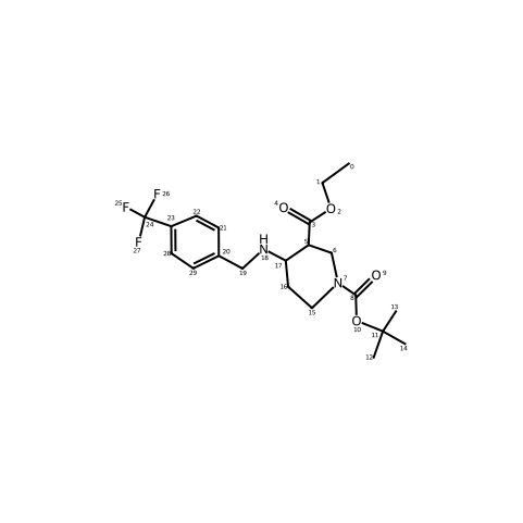 CCOC(=O)C1CN(C(=O)OC(C)(C)C)CCC1NCc1ccc(C(F)(F)F)cc1